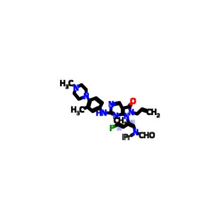 C=CCn1c(=O)c2cnc(Nc3ccc(N4CCN(C)CC4)c(C)c3)nc2n1C(/C=C(\C)F)=C/N(C=O)C(C)C